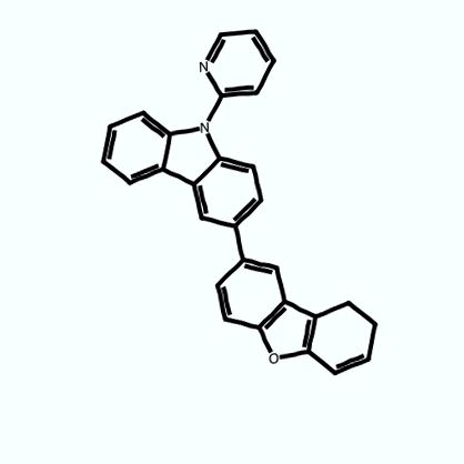 C1=Cc2oc3ccc(-c4ccc5c(c4)c4ccccc4n5-c4ccccn4)cc3c2CC1